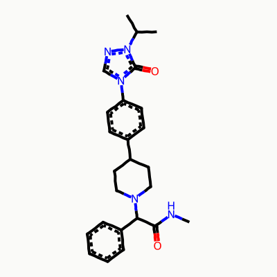 CNC(=O)C(c1ccccc1)N1CCC(c2ccc(-n3cnn(C(C)C)c3=O)cc2)CC1